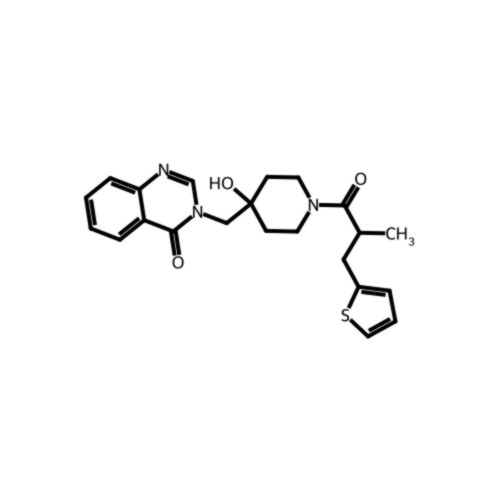 CC(Cc1cccs1)C(=O)N1CCC(O)(Cn2cnc3ccccc3c2=O)CC1